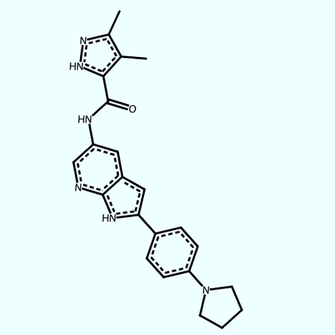 Cc1n[nH]c(C(=O)Nc2cnc3[nH]c(-c4ccc(N5CCCC5)cc4)cc3c2)c1C